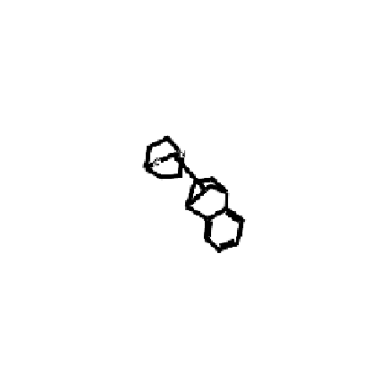 c1ccc2c(c1)C1CCC2C(C2CC3CCN2CC3)C1